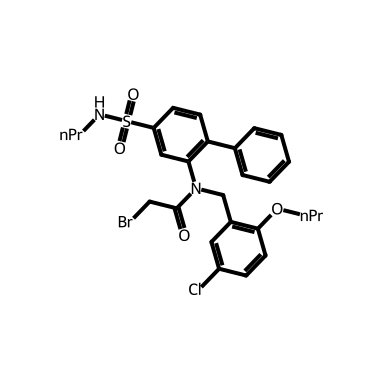 CCCNS(=O)(=O)c1ccc(-c2ccccc2)c(N(Cc2cc(Cl)ccc2OCCC)C(=O)CBr)c1